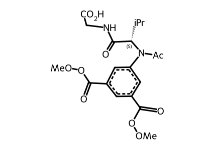 COOC(=O)c1cc(C(=O)OOC)cc(N(C(C)=O)[C@H](C(=O)NCC(=O)O)C(C)C)c1